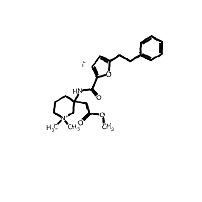 COC(=O)CC1(NC(=O)c2ccc(CCc3ccccc3)o2)CCC[N+](C)(C)C1.[I-]